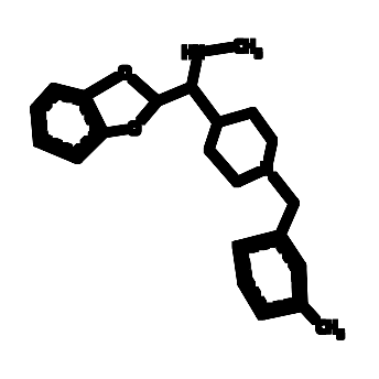 CNC(C1CCN(Cc2cccc(C)c2)CC1)C1Oc2ccccc2O1